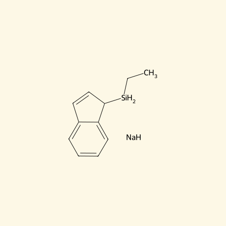 CC[SiH2]C1C=Cc2ccccc21.[NaH]